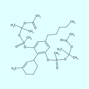 CCCCCc1cc(OP(C)(=O)OC(C)(C)OC(C)=O)c(C2C=C(C)CCC2)c(OP(C)(=O)OC(C)(C)OC(C)=O)c1